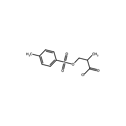 Cc1ccc(S(=O)(=O)OCC(C)C(=O)Cl)cc1